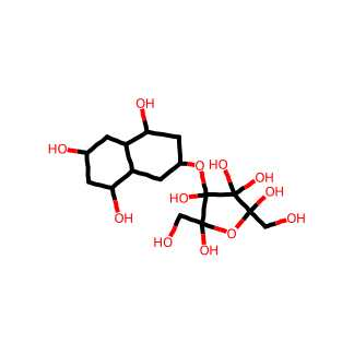 OCC1(O)OC(O)(CO)C(O)(OC2CC(O)C3CC(O)CC(O)C3C2)C1(O)O